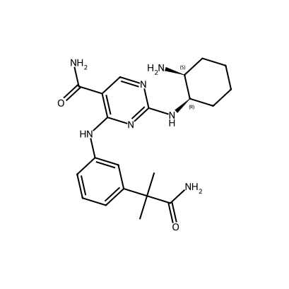 CC(C)(C(N)=O)c1cccc(Nc2nc(N[C@@H]3CCCC[C@@H]3N)ncc2C(N)=O)c1